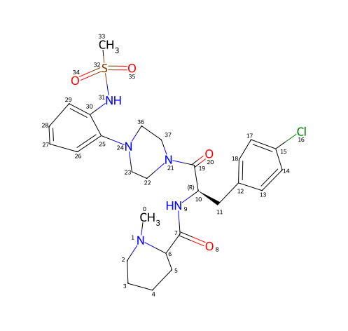 CN1CCCCC1C(=O)N[C@H](Cc1ccc(Cl)cc1)C(=O)N1CCN(c2ccccc2NS(C)(=O)=O)CC1